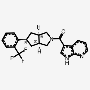 O=C(c1c[nH]c2ncccc12)N1C[C@H]2C[C@@H](c3ccccc3C(F)(F)F)C[C@H]2C1